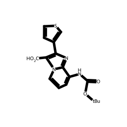 CC(C)(C)OC(=O)Nc1cccn2c(C(=O)O)c(-c3ccsc3)nc12